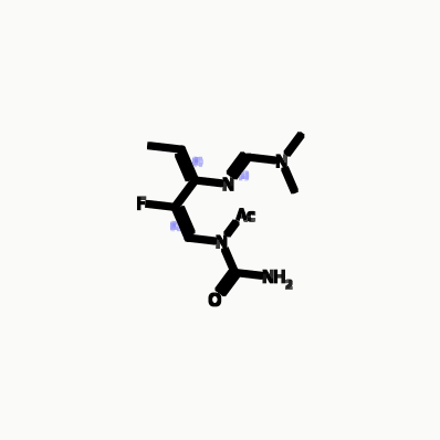 C/C=C(/N=C/N(C)C)C(\F)=C/N(C(C)=O)C(N)=O